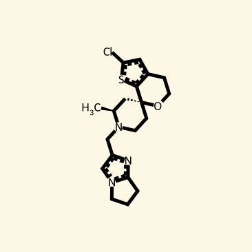 C[C@H]1C[C@@]2(CCN1Cc1cn3c(n1)CCC3)OCCc1cc(Cl)sc12